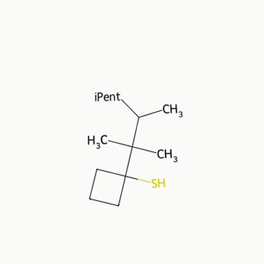 CCCC(C)C(C)C(C)(C)C1(S)CCC1